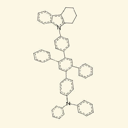 c1ccc(-c2cc(-c3ccc(-n4c5c(c6ccccc64)CCCC5)cc3)c(-c3ccccc3)cc2-c2ccc(N(c3ccccc3)c3ccccc3)cc2)cc1